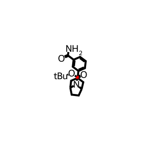 CC(C)(C)OC(=O)N1C2CCC1CC(c1cccc(C(N)=O)c1)C2